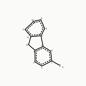 Ic1ccc2c(c1)-c1ccccc1C2